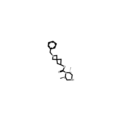 C[C@@H]1CNC[C@@H](C)N1C(=O)OC1CC2(C1)CN(Cc1ccccc1)C2